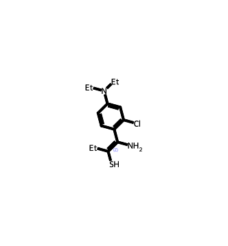 CC/C(S)=C(/N)c1ccc(N(CC)CC)cc1Cl